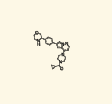 O=C(C1CC1)N1CCN(c2ccnn3cc(-c4ccc(C5COCCN5)cc4)cc23)CC1